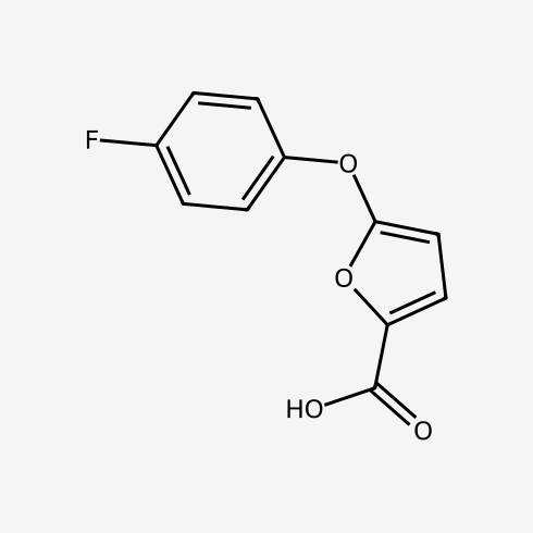 O=C(O)c1ccc(Oc2ccc(F)cc2)o1